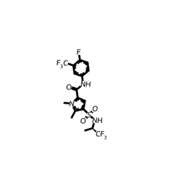 Cc1c(S(=O)(=O)N[C@H](C)C(F)(F)F)cc(C(=O)Nc2ccc(F)c(C(F)(F)F)c2)n1C